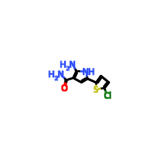 NC(=O)c1cc(-c2ccc(Cl)s2)[nH]c1N